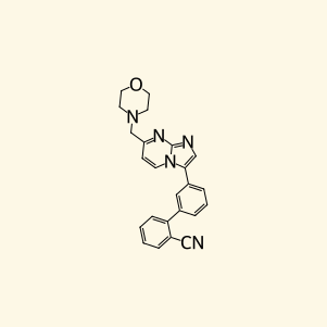 N#Cc1ccccc1-c1cccc(-c2cnc3nc(CN4CCOCC4)ccn23)c1